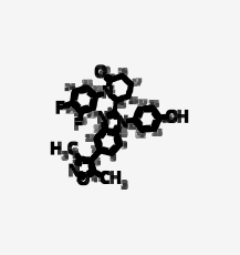 Cc1noc(C)c1-c1ccc2c(c1)nc([C@@H]1CCCC(=O)N1c1ccc(F)c(F)c1)n2-c1ccc(O)cc1